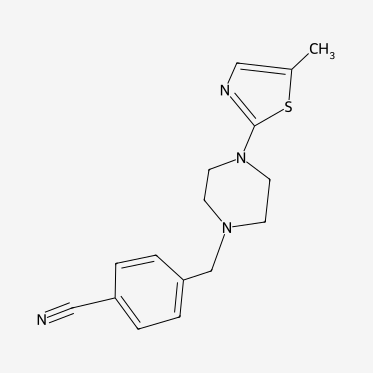 Cc1cnc(N2CCN(Cc3ccc(C#N)cc3)CC2)s1